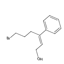 OCC=C(CCCBr)c1ccccc1